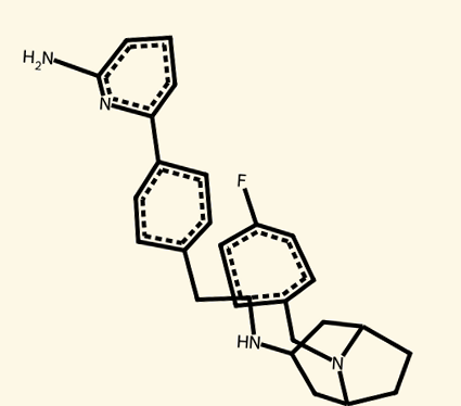 Nc1cccc(-c2ccc(CCNC3CC4CCC(C3)N4Cc3ccc(F)cc3)cc2)n1